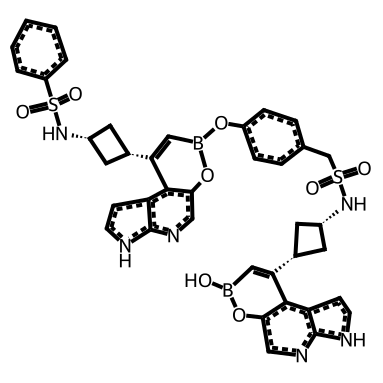 O=S(=O)(Cc1ccc(OB2C=C([C@H]3C[C@@H](NS(=O)(=O)c4ccccc4)C3)c3c(cnc4[nH]ccc34)O2)cc1)N[C@H]1C[C@@H](C2=CB(O)Oc3cnc4[nH]ccc4c32)C1